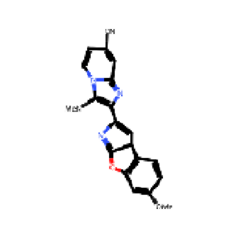 CNc1c(C2=CC3C(=N2)Oc2cc(OC)ccc23)nc2cc(C#N)ccn12